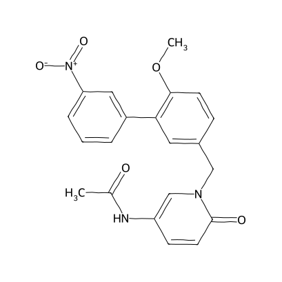 COc1ccc(Cn2cc(NC(C)=O)ccc2=O)cc1-c1cccc([N+](=O)[O-])c1